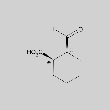 O=C(I)[C@H]1CCCC[C@H]1C(=O)O